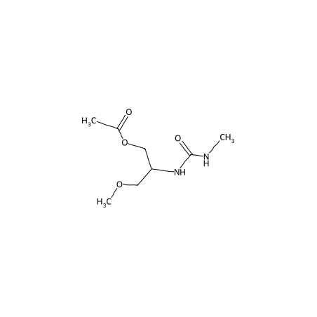 CNC(=O)NC(COC)COC(C)=O